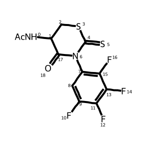 CC(=O)NC1CSC(=S)N(c2cc(F)c(F)c(F)c2F)C1=O